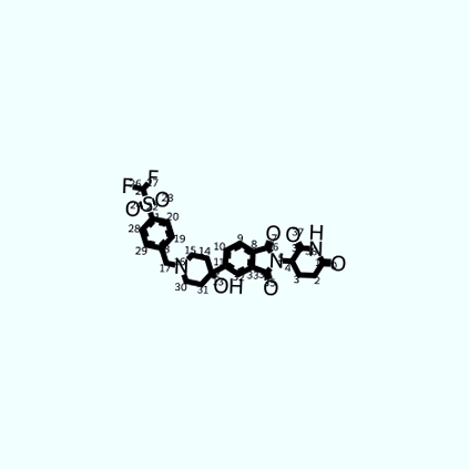 O=C1CCC(N2C(=O)c3ccc(C4(O)CCN(Cc5ccc(S(=O)(=O)C(F)F)cc5)CC4)cc3C2=O)C(=O)N1